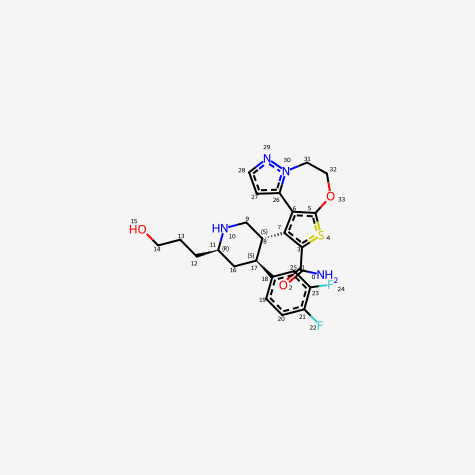 NC(=O)c1sc2c(c1[C@H]1CN[C@H](CCCO)C[C@@H]1c1ccc(F)c(F)c1)-c1ccnn1CCO2